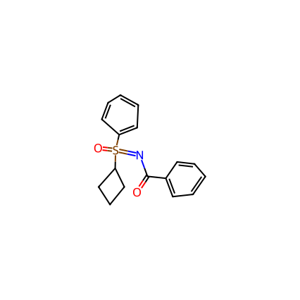 O=C(N=S(=O)(c1ccccc1)C1CCC1)c1ccccc1